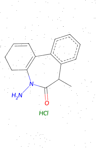 CC1C(=O)N(N)C2=C(C=CCC2)c2ccccc21.Cl